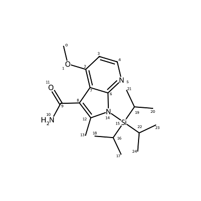 COc1ccnc2c1c(C(N)=O)c(C)n2[Si](C(C)C)(C(C)C)C(C)C